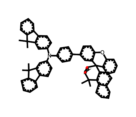 CC1(C)c2ccccc2-c2ccc(N(c3ccc(-c4ccc5c(c4)C4(c6ccccc6O5)c5ccccc5C(C)(C)c5c4ccc4ccccc54)cc3)c3ccc4c(c3)C(C)(C)c3ccccc3-4)cc21